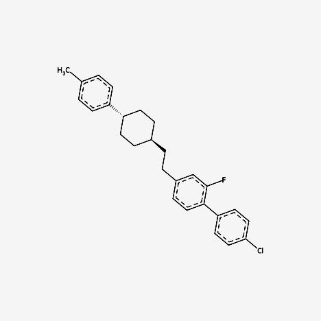 Cc1ccc([C@H]2CC[C@H](CCc3ccc(-c4ccc(Cl)cc4)c(F)c3)CC2)cc1